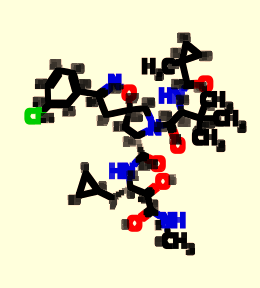 CNC(=O)C(=O)[C@H](CC1CC1)NC(=O)[C@@H]1C[C@]2(CC(c3cccc(Cl)c3)=NO2)CN1C(=O)[C@@H](NC(=O)C1(C)CC1)C(C)(C)C